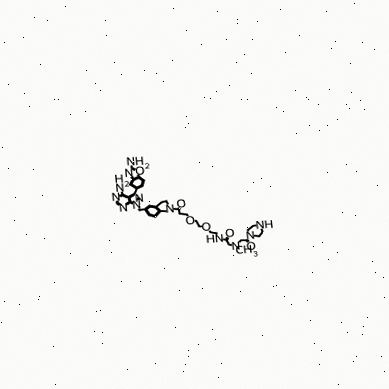 CN(CC(=O)NCCOCCOCCC(=O)N1CCc2cc(Cn3nc(-c4ccc5oc(N)nc5c4)c4c(N)ncnc43)ccc2C1)CC(=O)N1CCNCC1